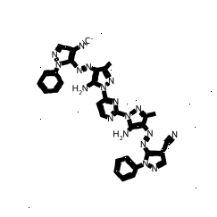 [C-]#[N+]c1cnn(-c2ccccc2)c1N=Nc1c(C)nn(-c2ccnc(-n3nc(C)c(N=Nc4c(C#N)cnn4-c4ccccc4)c3N)n2)c1N